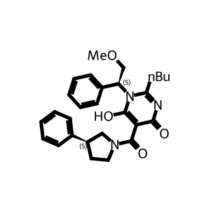 CCCCc1nc(=O)c(C(=O)N2CC[C@@H](c3ccccc3)C2)c(O)n1[C@H](COC)c1ccccc1